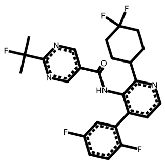 CC(C)(F)c1ncc(C(=O)Nc2c(-c3cc(F)ccc3F)ccnc2C2CCC(F)(F)CC2)cn1